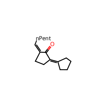 CCCCC/C=C1/CCC(=C2CCCC2)C1=O